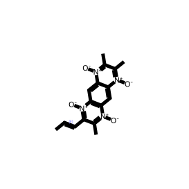 C/C=C/c1c(C)[n+]([O-])c2cc3c(cc2[n+]1[O-])[n+]([O-])c(C)c(C)[n+]3[O-]